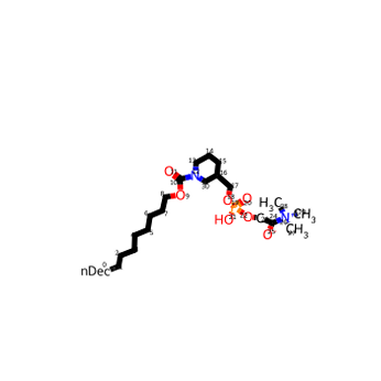 CCCCCCCCCCCCCCCCCCOC(=O)N1CCCC(COP(=O)(O)OCC([O-])[N+](C)(C)C)C1